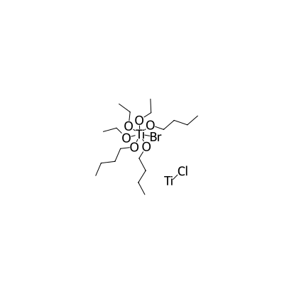 CCCC[O][Ti]([Br])([O]CC)([O]CC)([O]CC)([O]CCCC)[O]CCCC.[Cl][Ti]